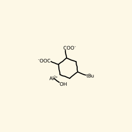 CC(C)(C)C1CCC(C(=O)[O-])C(C(=O)[O-])C1.[OH][Al+2]